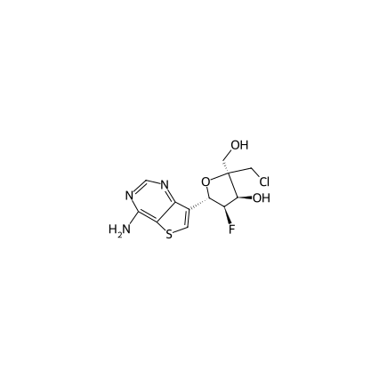 Nc1ncnc2c([C@@H]3O[C@@](CO)(CCl)[C@@H](O)[C@H]3F)csc12